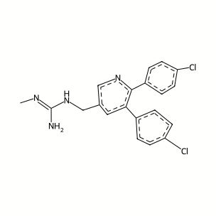 C/N=C(\N)NCc1cnc(-c2ccc(Cl)cc2)c(-c2ccc(Cl)cc2)c1